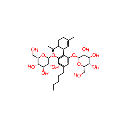 C=C(C)C1CCC(C)=C[C@H]1c1c(O[C@@H]2O[C@H](CO)[C@@H](O)[C@H](O)[C@H]2O)cc(CCCCC)cc1O[C@@H]1O[C@H](CO)[C@@H](O)[C@H](O)[C@H]1O